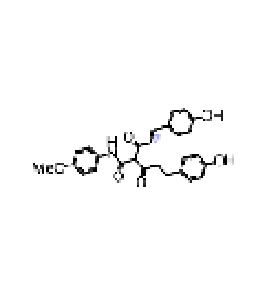 COc1ccc(NC(=O)C(C(=O)/C=C/c2ccc(O)cc2)C(=O)CCc2ccc(O)cc2)cc1